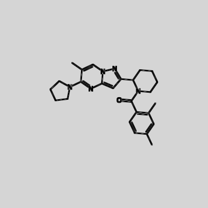 Cc1ccc(C(=O)N2CCCCC2c2cc3nc(N4CCCC4)c(C)cn3n2)c(C)c1